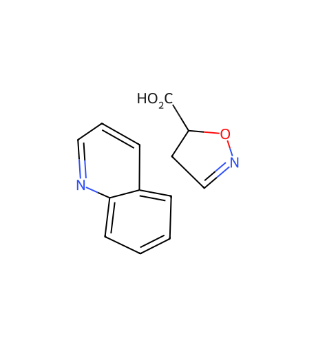 O=C(O)C1CC=NO1.c1ccc2ncccc2c1